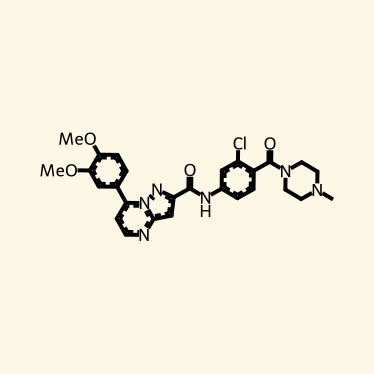 COc1ccc(-c2ccnc3cc(C(=O)Nc4ccc(C(=O)N5CCN(C)CC5)c(Cl)c4)nn23)cc1OC